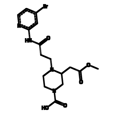 COC(=O)CC1CN(C(=O)O)CCN1CCC(=O)Nc1cc(Br)ccn1